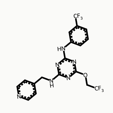 FC(F)(F)COc1nc(NCc2ccncc2)nc(Nc2cccc(C(F)(F)F)c2)n1